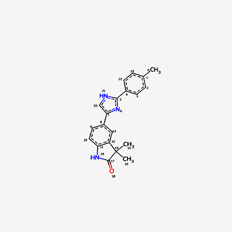 Cc1ccc(-c2nc(-c3ccc4c(c3)C(C)(C)C(=O)N4)c[nH]2)cc1